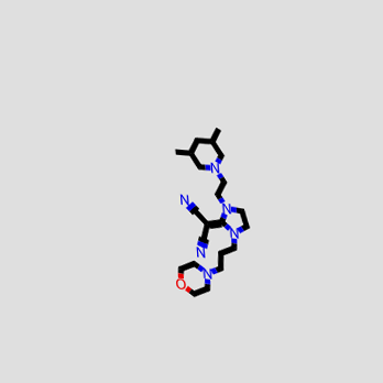 CC1CC(C)CN(CCN2CCN(CCCN3CCOCC3)C2=C(C#N)C#N)C1